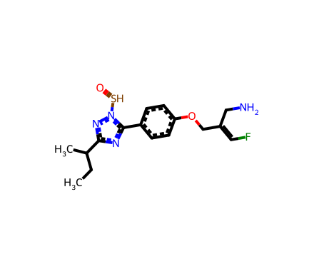 CCC(C)c1nc(-c2ccc(OC/C(=C/F)CN)cc2)n([SH]=O)n1